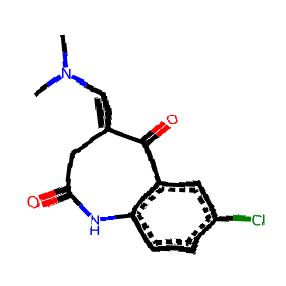 CN(C)/C=C1\CC(=O)Nc2ccc(Cl)cc2C1=O